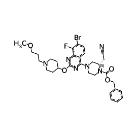 COCCCN1CCC(Oc2nc(N3CCN(C(=O)OCc4ccccc4)[C@@H](CC#N)C3)c3ccc(Br)c(F)c3n2)CC1